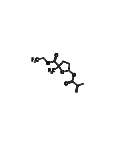 C=C(C)C(=O)OC1CCC(C(=O)OCC(F)(F)F)(C(F)(F)F)O1